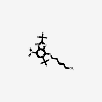 CCC=CCCSc1c(C(F)(F)F)cc([N+](=O)[O-])c2[nH]c(C(F)(F)F)nc12